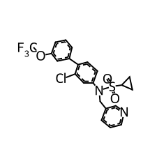 O=S(=O)(C1CC1)N(Cc1cccnc1)c1ccc(-c2cccc(OC(F)(F)F)c2)c(Cl)c1